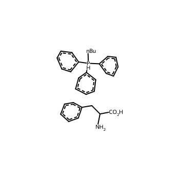 CCCC[PH](c1ccccc1)(c1ccccc1)c1ccccc1.NC(Cc1ccccc1)C(=O)O